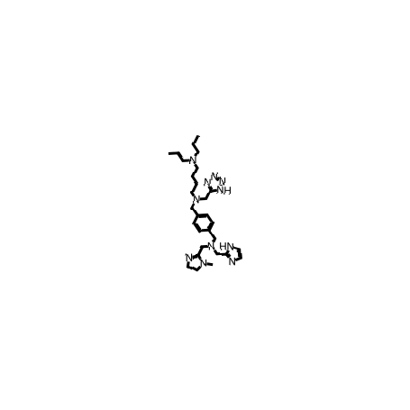 CCCN(CCC)CCCCN(Cc1ccc(CN(CC2=NCCN2C)Cc2ncc[nH]2)cc1)Cc1nnn[nH]1